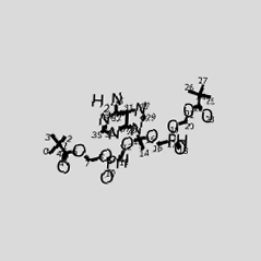 CC(C)(C)C(=O)OCO[PH](=O)COC(C)(OC[PH](=O)OCOC(=O)C(C)(C)C)n1cnc2c(N)ncnc21